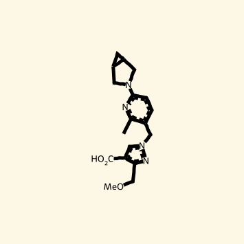 COCc1nn(Cc2ccc(N3CC4CC4C3)nc2C)cc1C(=O)O